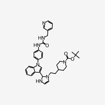 CC(C)(C)OC(=O)N1CCC(CCN2C=CNC2c2cn(-c3ccc(NC(=O)NCc4cccnc4)cc3)c3ccccc23)CC1